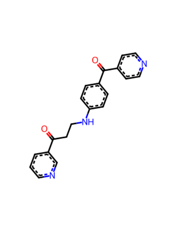 O=C(CCNc1ccc(C(=O)c2ccncc2)cc1)c1cccnc1